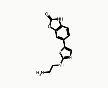 NCCNc1ncc(-c2ccc3[nH]c(=O)oc3c2)s1